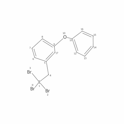 Br[I](Br)(Br)Cc1cccc(Oc2ccccc2)c1